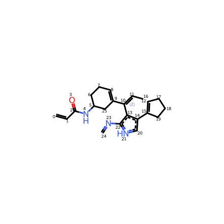 C=CC(=O)NC1CCC=C(/C(=C/C)c2c(C3=CCCC3)c[nH]c2N=C)C1